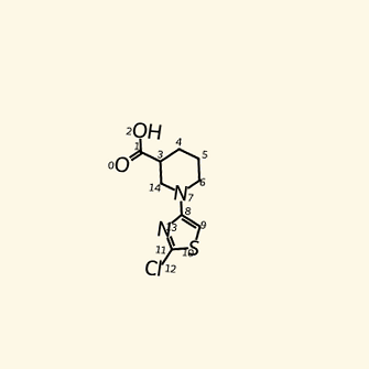 O=C(O)C1CCCN(c2csc(Cl)n2)C1